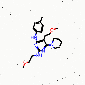 COCCNc1nc(Nc2ccc(C)cc2)c(CCOC)c(N2CCCCC2)n1